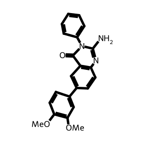 COc1ccc(-c2ccc3nc(N)n(-c4ccccc4)c(=O)c3c2)cc1OC